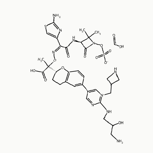 CC(O/N=C(\C(=O)N[C@@H]1C(=O)N(OS(=O)(=O)[O-])C1(C)C)c1csc(N)n1)(C(=O)O)[C@H]1CCc2cc(-c3cnc(NCC(O)CN)[n+](CC4CNC4)c3)ccc2O1.O=CO